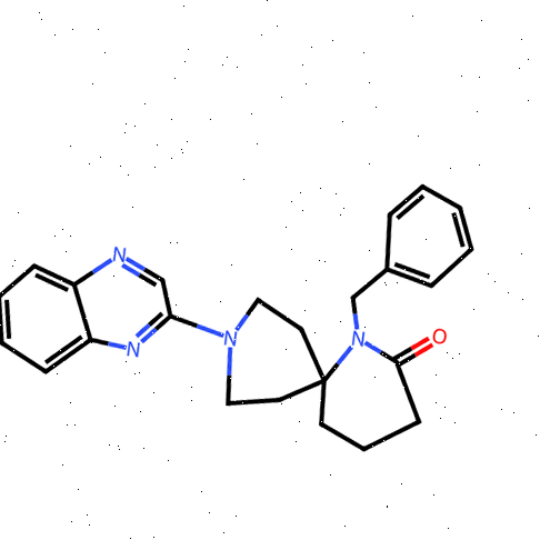 O=C1CCCC2(CCN(c3cnc4ccccc4n3)CC2)N1Cc1ccccc1